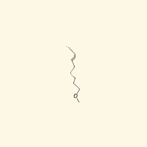 [CH2]C=CCCCCCOC